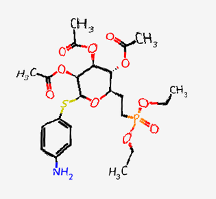 CCOP(=O)(CC[C@H]1O[C@@H](Sc2ccc(N)cc2)[C@@H](OC(C)=O)[C@@H](OC(C)=O)[C@@H]1OC(C)=O)OCC